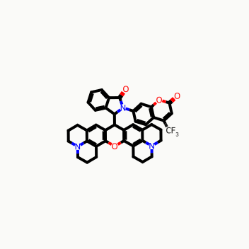 O=C1c2ccccc2C(C2c3cc4c5c(c3Oc3c2cc2c6c3CCCN6CCC2)CCCN5CCC4)N1c1ccc2c(C(F)(F)F)cc(=O)oc2c1